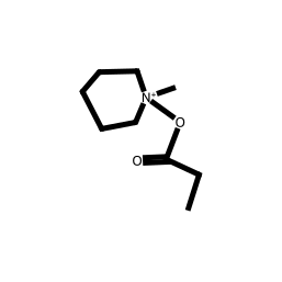 CCC(=O)O[N+]1(C)CCCCC1